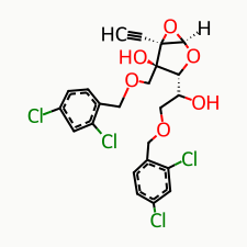 C#C[C@]12O[C@H]1O[C@H](C(O)COCc1ccc(Cl)cc1Cl)[C@]2(O)COCc1ccc(Cl)cc1Cl